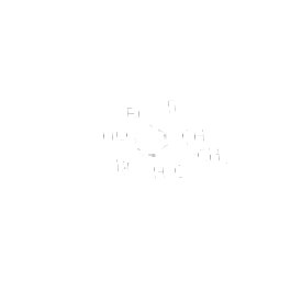 CC(C)(C)c1cc(Br)c(O)c(Br)c1.[Ti]